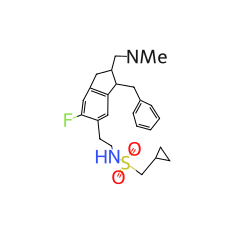 CNCC1Cc2cc(F)c(CCNS(=O)(=O)CC3CC3)cc2C1Cc1ccccc1